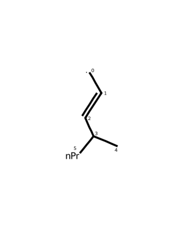 [CH2]/C=C/C(C)CCC